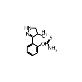 CC1CNN=C1c1ccccc1O.NC=S